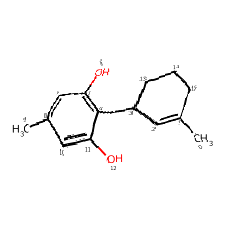 CC1=CC(c2c(O)cc(C)cc2O)CCC1